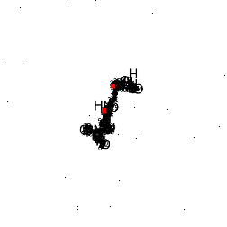 CC(=O)N1CCn2c(C3CCOCC3)nc(-c3ccnc4cc(N5CCC(NC(=O)CCC#Cc6cccc7c6CN(C6CCC(=O)NC6=O)C7=O)CC5)ccc34)c2C1